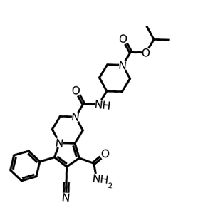 CC(C)OC(=O)N1CCC(NC(=O)N2CCn3c(c(C(N)=O)c(C#N)c3-c3ccccc3)C2)CC1